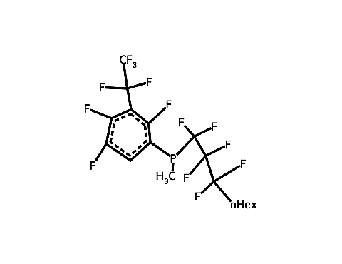 CCCCCCC(F)(F)C(F)(F)C(F)(F)P(C)c1cc(F)c(F)c(C(F)(F)C(F)(F)F)c1F